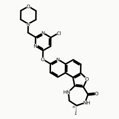 C[C@@H]1CNc2c(oc3ccc4nc(Oc5cc(Cl)nc(CN6CCOCC6)n5)ccc4c23)C(=O)N1